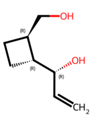 C=C[C@@H](O)[C@@H]1CC[C@H]1CO